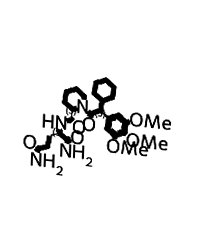 COc1cc([C@@H](C(=O)N2CCCC[C@H]2C(=O)N[C@@H](CCC(N)=O)C(N)=O)C2CCCCC2)cc(OC)c1OC